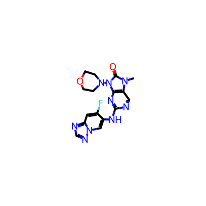 Cn1c(=O)n(N2CCOCC2)c2nc(Nc3cn4ncnc4cc3F)ncc21